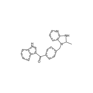 CC1Nc2ncccc2N1Cc1ccc(C(=O)c2c[nH]c3ccccc23)cc1